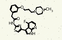 CN1CCN(CCCOc2cccc(CC(=O)Nc3nc(-c4c[nH]c5nccc(F)c45)cs3)c2)CC1